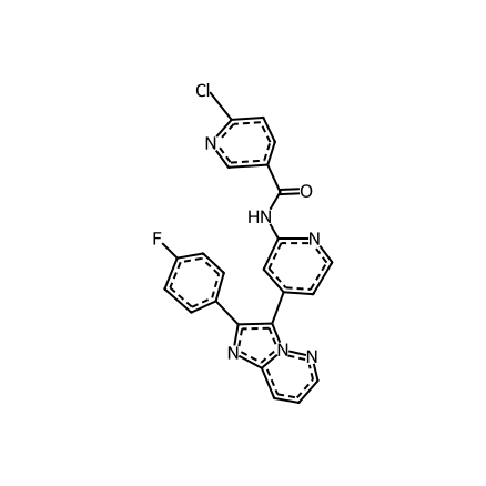 O=C(Nc1cc(-c2c(-c3ccc(F)cc3)nc3cccnn23)ccn1)c1ccc(Cl)nc1